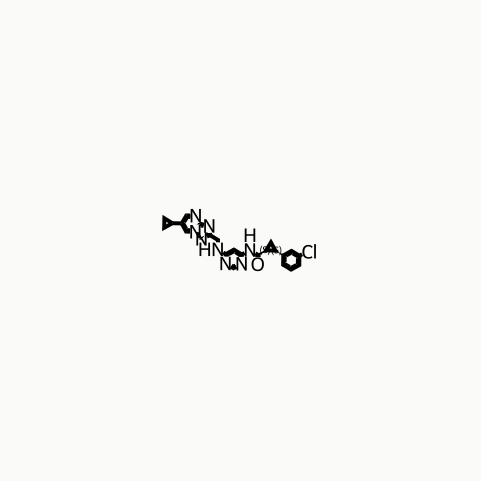 O=C(Nc1cc(NCc2nc3ncc(C4CC4)cn3n2)ncn1)[C@H]1C[C@@H]1c1cccc(Cl)c1